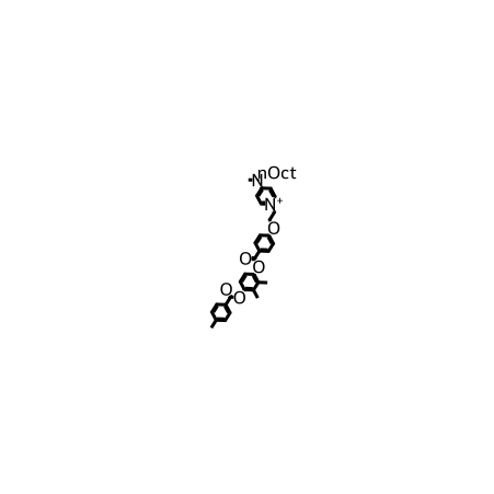 CCCCCCCCN(C)c1cc[n+](CCOc2ccc(C(=O)Oc3ccc(OC(=O)c4ccc(C)cc4)c(C)c3C)cc2)cc1